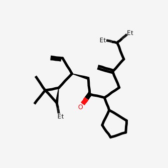 C=C[C@@H](CC(=O)C(CC(=C)CC(CC)CC)C1CCCC1)[C@H]1C(CC)C1(C)C